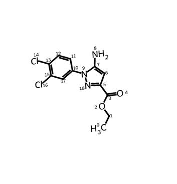 CCOC(=O)c1cc(N)n(-c2ccc(Cl)c(Cl)c2)n1